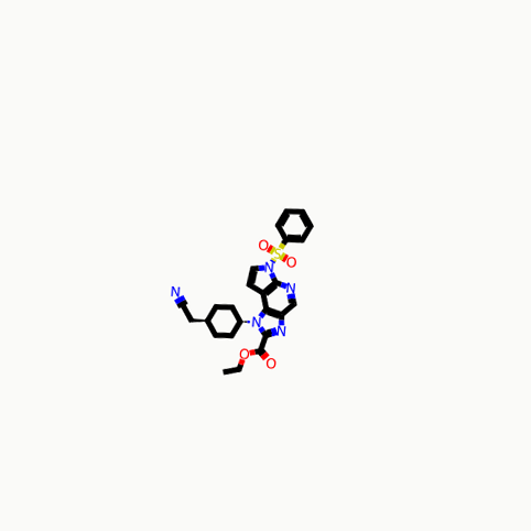 CCOC(=O)c1nc2cnc3c(ccn3S(=O)(=O)c3ccccc3)c2n1[C@H]1CC[C@H](CC#N)CC1